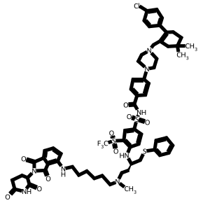 CN(CCCCCCNc1cccc2c1C(=O)N(C1CCC(=O)NC1=O)C2=O)CC[C@H](CSc1ccccc1)Nc1ccc(S(=O)(=O)NC(=O)c2ccc(N3CCN(CC4=C(c5ccc(Cl)cc5)CCC(C)(C)C4)CC3)cc2)cc1S(=O)(=O)C(F)(F)F